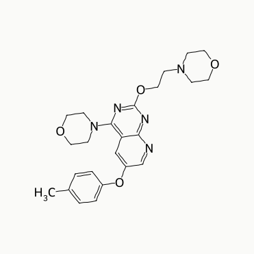 Cc1ccc(Oc2cnc3nc(OCCN4CCOCC4)nc(N4CCOCC4)c3c2)cc1